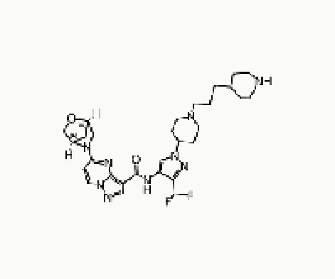 O=C(Nc1cn(C2CCN(CCCC3CCNCC3)CC2)nc1C(F)F)c1cnn2ccc(N3C[C@H]4C[C@@H]3CO4)nc12